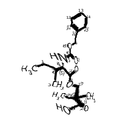 CCC(C)[C@H](NC(=O)OCc1ccccc1)C(=O)OCC(C)(C)C(=O)O